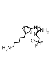 NCCCCCc1nccc(NC(N)=NCC(F)(F)Cl)n1